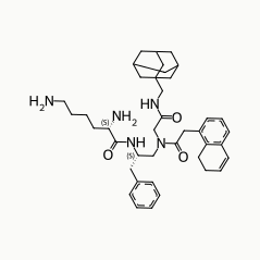 NCCCC[C@H](N)C(=O)N[C@@H](Cc1ccccc1)CN(CC(=O)NCC12CC3CC(CC(C3)C1)C2)C(=O)Cc1cccc2c1CCC=C2